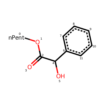 CCCCCOC(=O)C(O)c1ccccc1